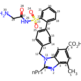 CCCc1nc2c(C)cc(C(=O)O)cc2n1Cc1ccc(-c2ccccc2S(=O)(=O)NC(=O)CN)cc1